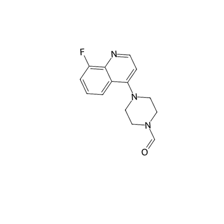 O=CN1CCN(c2ccnc3c(F)cccc23)CC1